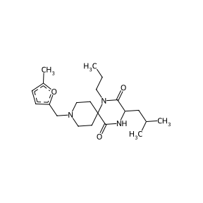 CCCN1C(=O)C(CC(C)C)NC(=O)C12CCN(Cc1ccc(C)o1)CC2